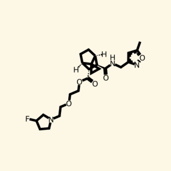 Cc1cc(CNC(=O)[C@H]2[C@H](C(=O)OCCOCCN3CCC(F)C3)[C@H]3CC[C@@H]2C32CC2)no1